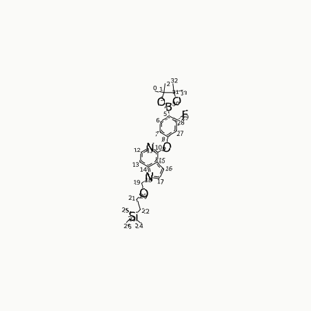 CC1(C)OB(c2ccc(Oc3nccc4c3ccn4COCC[Si](C)(C)C)cc2F)OC1(C)C